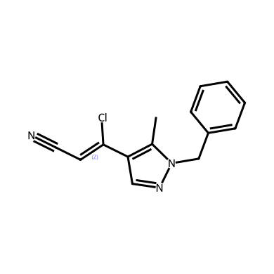 Cc1c(/C(Cl)=C/C#N)cnn1Cc1ccccc1